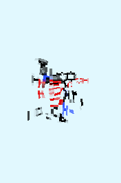 C/C(C(=O)NC1(C(=O)O)CC1)=C(/O)[C@@H]1Oc2c(O)ccc3c2[C@@]12CCN(CC1CC1)[C@H](C3)[C@@]2(C)O